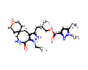 CCn1nc(C[C@@H](C)COC(=O)c2cc(C)n(C)n2)c2c1C(=O)NCC1(CCOCC1)C2